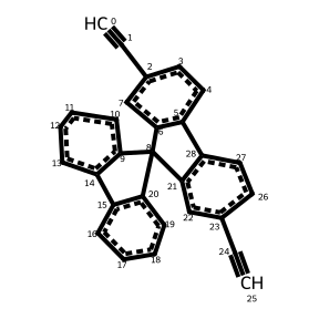 C#Cc1ccc2c(c1)C1(c3ccccc3-c3ccccc31)c1cc(C#C)ccc1-2